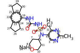 Cc1ncc(N(C2CCOCC2)S(=O)(=O)NC(=O)Nc2c3c(cc4c2CCC4)CCC3)c(C)n1.[NaH]